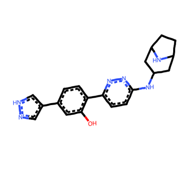 Oc1cc(-c2cn[nH]c2)ccc1-c1ccc(NC2CC3CCC(C2)N3)nn1